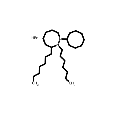 Br.CCCCCCCC1CCCCCN(C2CCCCCCC2)N1CCCCCCC